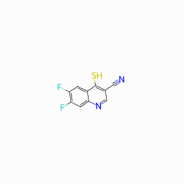 N#Cc1cnc2cc(F)c(F)cc2c1S